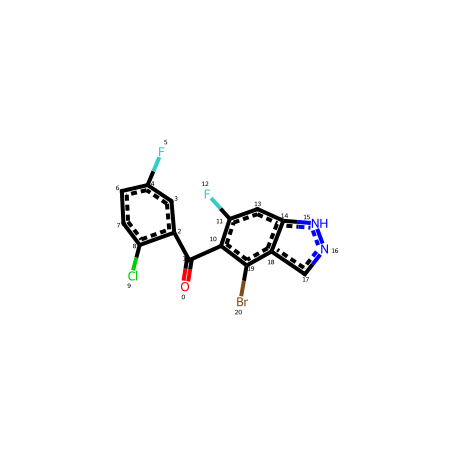 O=C(c1cc(F)ccc1Cl)c1c(F)cc2[nH]ncc2c1Br